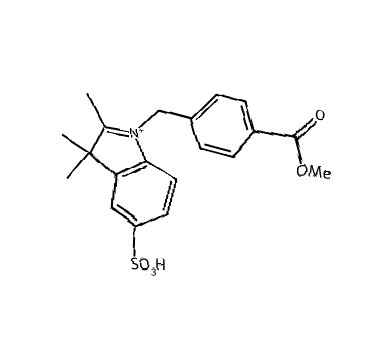 COC(=O)c1ccc(C[N+]2=C(C)C(C)(C)c3cc(S(=O)(=O)O)ccc32)cc1